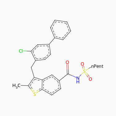 CCCCCS(=O)(=O)NC(=O)c1ccc2sc(C)c(Cc3ccc(-c4ccccc4)cc3Cl)c2c1